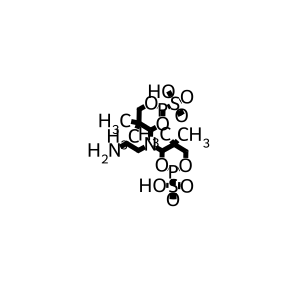 CC1(C)COP(S(=O)(=O)O)OC1N(CCN)C1OP(S(=O)(=O)O)OCC1(C)C